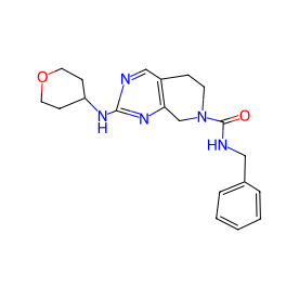 O=C(NCc1ccccc1)N1CCc2cnc(NC3CCOCC3)nc2C1